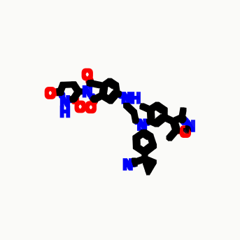 Cc1ccc(-c2c(C)noc2C)cc1N(CCCNc1ccc2c(c1)C(=O)N(C1CCC(=O)NC1=O)C2=O)c1ccc(C2(C#N)CC2)cc1